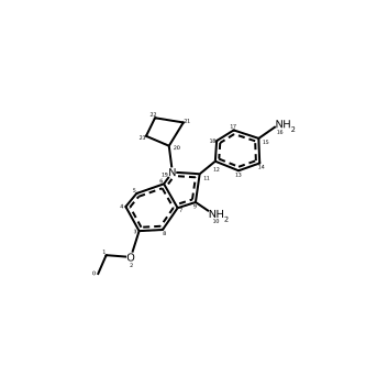 CCOc1ccc2c(c1)c(N)c(-c1ccc(N)cc1)n2C1CCC1